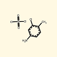 Cc1ccc(N)cc1Cl.O=S(=O)(Cl)Cl